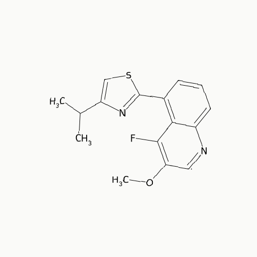 COc1[c]nc2cccc(-c3nc(C(C)C)cs3)c2c1F